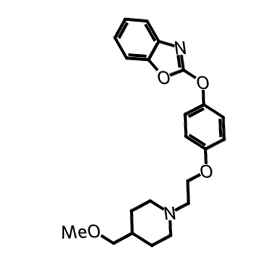 COCC1CCN(CCOc2ccc(Oc3nc4ccccc4o3)cc2)CC1